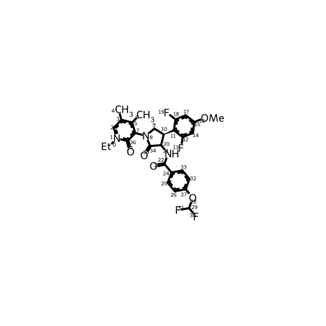 CCn1cc(C)c(C)c(N2C[C@@H](c3c(F)cc(OC)cc3F)C(NC(=O)c3ccc(OC(F)F)cc3)C2=O)c1=O